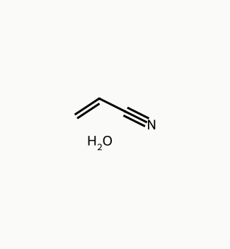 C=CC#N.O